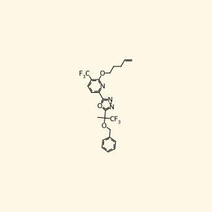 C=CCCCOc1nc(-c2nnc(C(C)(OCc3ccccc3)C(F)(F)F)o2)ccc1C(F)(F)F